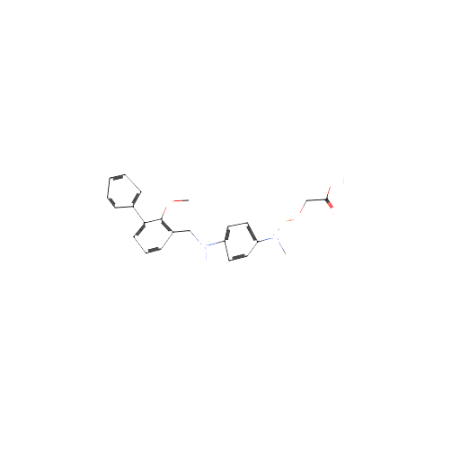 COc1c(CNc2ccc(N(C)SOCC(=O)O)cc2)cccc1-c1ccccc1.S